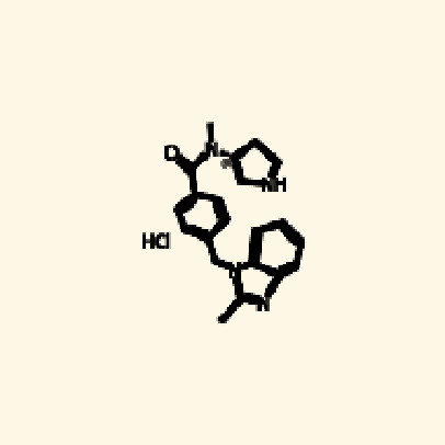 Cc1nc2ccccc2n1Cc1ccc(C(=O)N(C)[C@@H]2CCNC2)cc1.Cl